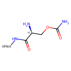 CCCCCCNC(=O)[C@@H](N)COC(N)=O